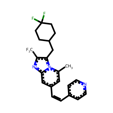 Cc1cc(/C=C\c2ccncc2)cc2nc(C(F)(F)F)c(CC3CCC(F)(F)CC3)n12